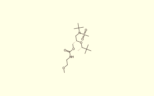 COCCNC(=O)OC[C@H](CN(C(C)(C)C)S(C)(=O)=O)O[C@@H](C)C(C)(C)C